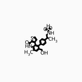 Cc1cc(CO)c(-c2ccc(C(C)CN[SH](=O)=O)cc2)c2c1[nH]c(=O)c1sccc12